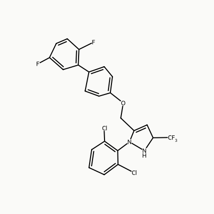 Fc1ccc(F)c(-c2ccc(OCC3=CC(C(F)(F)F)NN3c3c(Cl)cccc3Cl)cc2)c1